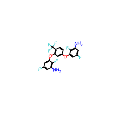 Nc1cc(F)cc(Oc2ccc(C(F)(F)F)c(Oc3cc(F)cc(N)c3F)c2)c1F